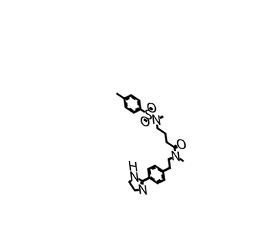 Cc1ccc(S(=O)(=O)N(C)CCCC(=O)N(C)CCc2ccc(C3=NCCN3)cc2)cc1